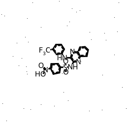 O=[N+](O)c1ccc(S(=O)(=O)Nc2nc3ccccc3nc2Nc2cccc(C(F)(F)F)c2)cc1